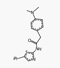 CC(C)c1cnc(NC(=O)Cc2ccc(N(C)C)cc2)s1